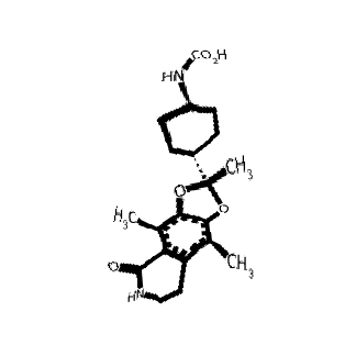 Cc1c2c(c(C)c3c1OC(C)([C@H]1CC[C@H](NC(=O)O)CC1)O3)C(=O)NCC2